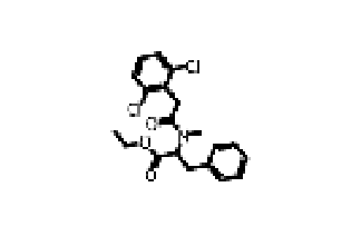 CCOC(=O)C(Cc1ccccc1)N(C)C(=O)Cc1c(Cl)cccc1Cl